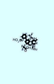 CCCCc1nc2nc(C)c(NC(=O)N(C)C)cc2n1Cc1ccc(-c2ccccc2OC(=O)O)cc1.O=C(O)C(F)(F)F